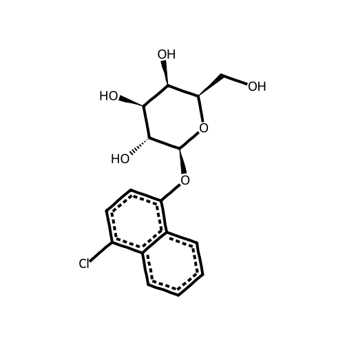 OC[C@H]1O[C@@H](Oc2ccc(Cl)c3ccccc23)[C@H](O)[C@@H](O)[C@H]1O